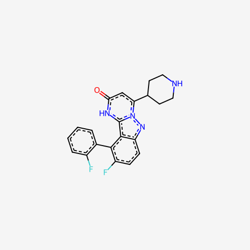 O=c1cc(C2CCNCC2)n2nc3ccc(F)c(-c4ccccc4F)c3c2[nH]1